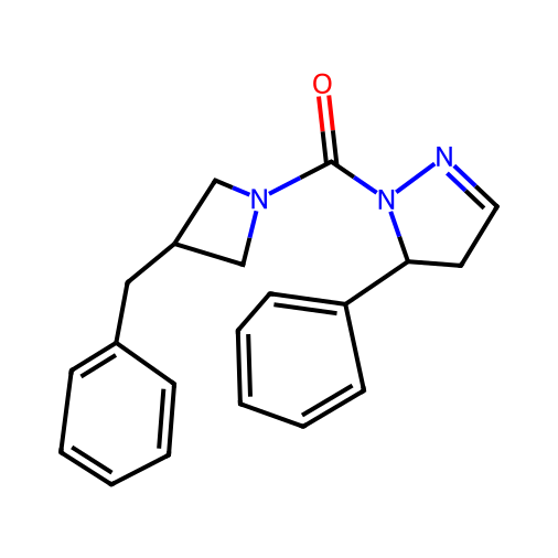 O=C(N1CC(Cc2ccccc2)C1)N1N=CCC1c1ccccc1